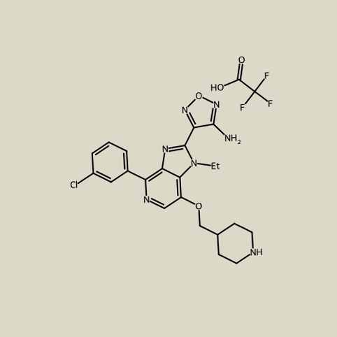 CCn1c(-c2nonc2N)nc2c(-c3cccc(Cl)c3)ncc(OCC3CCNCC3)c21.O=C(O)C(F)(F)F